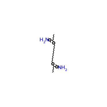 CCCCCC(c1ccc(CCCCCCCCCCCCCCc2ccc(C(CCCCC)c3ccc(N)cc3C)cc2)cc1)c1ccc(N)cc1C